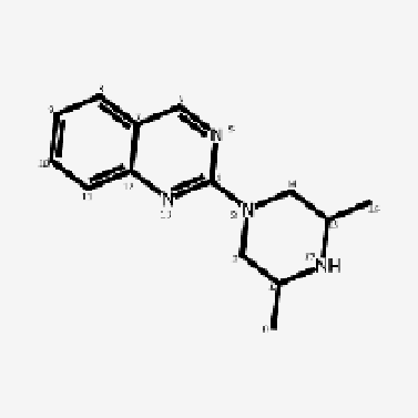 CC1CN(c2ncc3ccccc3n2)CC(C)N1